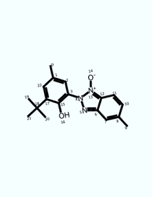 Cc1cc(-n2nc3cc(C)ccc3[n+]2[O-])c(O)c(C(C)(C)C)c1